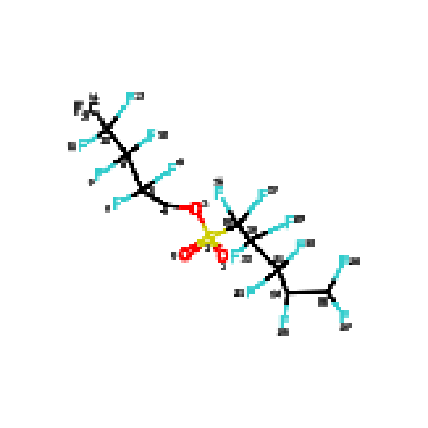 O=S(=O)(OCC(F)(F)C(F)(F)C(F)(F)C(F)(F)F)C(F)(F)C(F)(F)C(F)(F)C(F)C(F)F